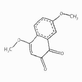 COC1=CC(=O)C(=O)c2cc(OC)ccc21